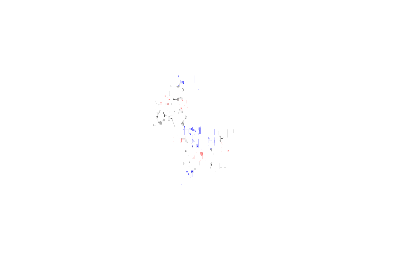 CC(=O)N[C@@H](CC(C)C)C(=O)N[C@@H](CCCCN)C(=O)Nc1ccc2c(c1)Oc1cc(N)ccc1C21OCc2ccccc21